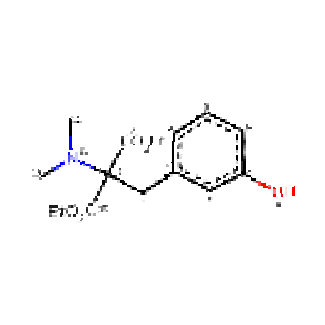 CCOC(=O)C(Cc1cccc(O)c1)(C(=O)OCC)N(C)C